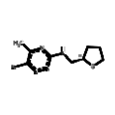 Cc1nc(NC[C@H]2CCCO2)nnc1Br